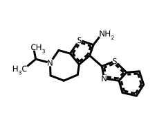 CC(C)N1CCCc2c(sc(N)c2-c2nc3ccccc3s2)C1